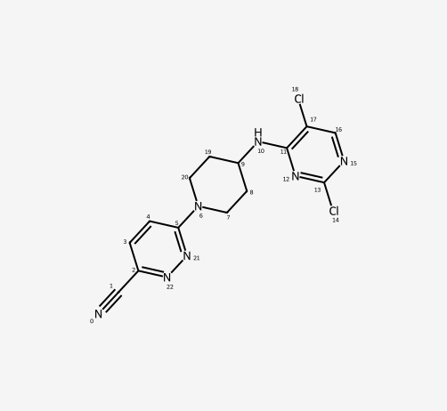 N#Cc1ccc(N2CCC(Nc3nc(Cl)ncc3Cl)CC2)nn1